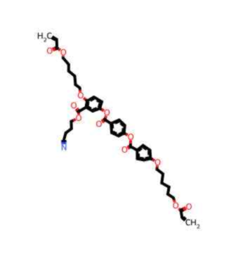 C=CC(=O)OCCCCCCOc1ccc(C(=O)Oc2ccc(C(=O)Oc3ccc(OCCCCCCOC(=O)C=C)c(C(=O)OCCCC#N)c3)cc2)cc1